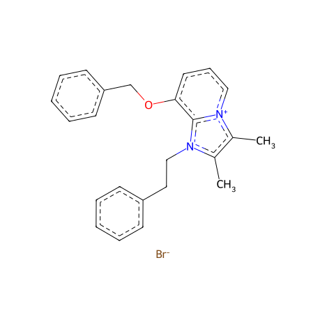 Cc1c(C)[n+]2cccc(OCc3ccccc3)c2n1CCc1ccccc1.[Br-]